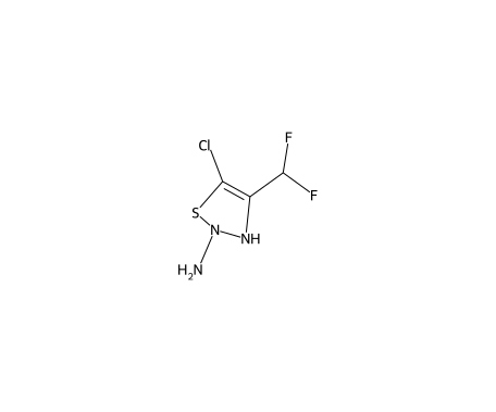 NN1NC(C(F)F)=C(Cl)S1